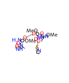 C=C1C[C@@H](/C=N/OC)N(C(=O)c2cc(OC)c(OCCCCCOc3cc(N)c(C(=O)N4CC(=C)C[C@H]4C4NCCO4)cc3OC)cc2NC(=O)OCCCSSc2ccccn2)C1